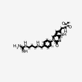 CS(=O)(=O)NCc1cc2cn(-c3ccc(CNCCCNC(=N)N)cc3)c(=O)nc2[nH]1